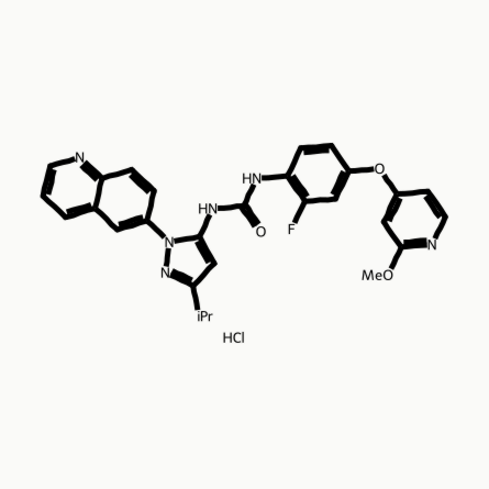 COc1cc(Oc2ccc(NC(=O)Nc3cc(C(C)C)nn3-c3ccc4ncccc4c3)c(F)c2)ccn1.Cl